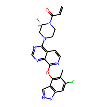 C=CC(=O)N1CCN(c2ncnc3c(Oc4c(C)c(Cl)cc5[nH]ncc45)nccc23)C[C@@H]1C